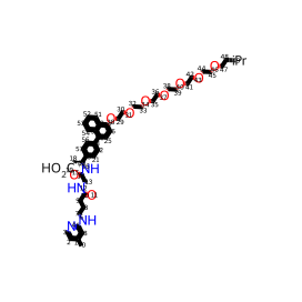 Cc1ccnc(NCCCC(=O)NCC(=O)N[C@@H](CC(=O)O)c2ccc(-c3ccc(OCCOCCOCCOCCOCCOCCOCCC(C)C)c4ccccc34)cc2)c1